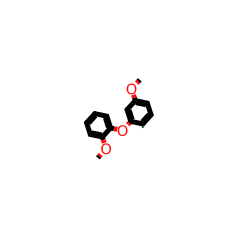 COc1cc[c]c(Oc2ccccc2OC)c1